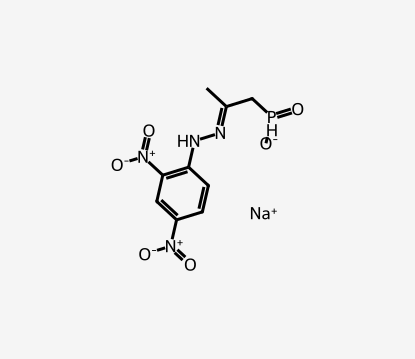 C/C(C[PH](=O)[O-])=N\Nc1ccc([N+](=O)[O-])cc1[N+](=O)[O-].[Na+]